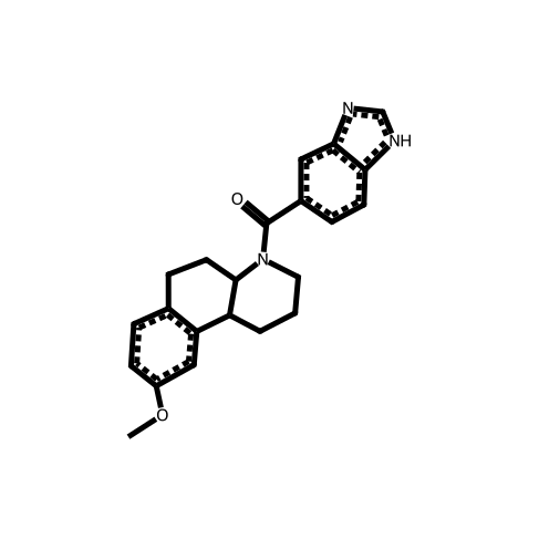 COc1ccc2c(c1)C1CCCN(C(=O)c3ccc4[nH]cnc4c3)C1CC2